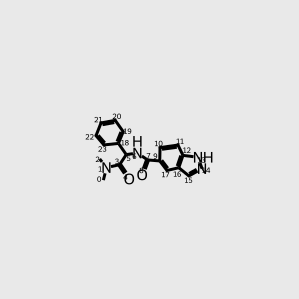 CN(C)C(=O)C(NC(=O)c1ccc2[nH]ncc2c1)c1ccccc1